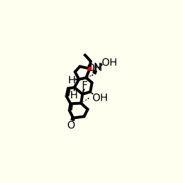 CC[C@]1(O)CC[C@H]2[C@@H]3C=CC4=CC(=O)CC[C@]4(C)[C@@]3(F)[C@@H](O)C[C@@]21/C=N/O